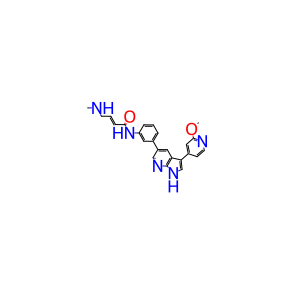 CNCC=CC(=O)Nc1cccc(-c2cnc3[nH]cc(-c4ccnc(OC)c4)c3c2)c1